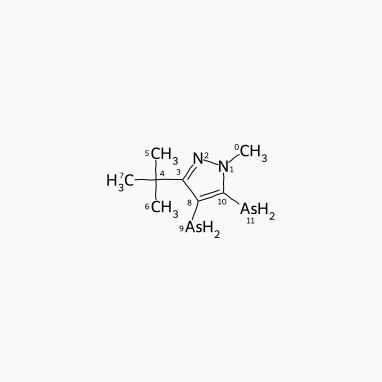 Cn1nc(C(C)(C)C)c([AsH2])c1[AsH2]